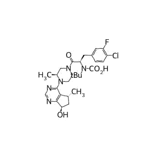 C[C@@H]1C[C@@H](O)c2ncnc(N3CCN(C(=O)[C@@H](Cc4ccc(Cl)c(F)c4)N(C(=O)O)C(C)(C)C)C[C@@H]3C)c21